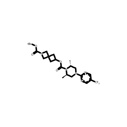 C[C@@H]1CN(c2ncc(C(F)(F)F)cn2)C[C@@H](C)N1C(=O)OC1CC2(C1)CN(C(=O)OC(C)(C)C)C2